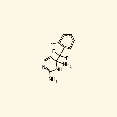 NC1=NC=CC(N)(C(F)(F)c2ccccc2F)N1